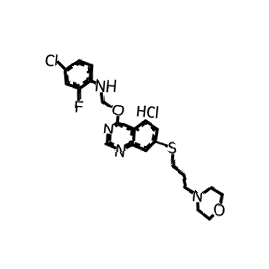 Cl.Fc1cc(Cl)ccc1NCOc1ncnc2cc(SCCCN3CCOCC3)ccc12